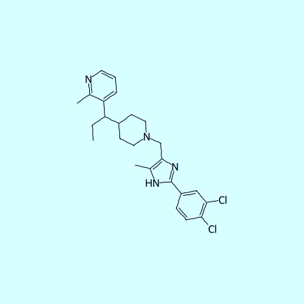 CCC(c1cccnc1C)C1CCN(Cc2nc(-c3ccc(Cl)c(Cl)c3)[nH]c2C)CC1